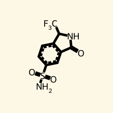 NS(=O)(=O)c1ccc2c(c1)C(=O)NC2C(F)(F)F